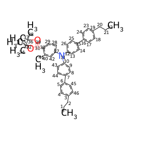 CCCc1ccc(-c2ccc(N(c3ccc(-c4ccc(CCC)cc4)cc3)c3ccc(B4OC(C)(C)C(C)(C)O4)c(C)c3)cc2)cc1